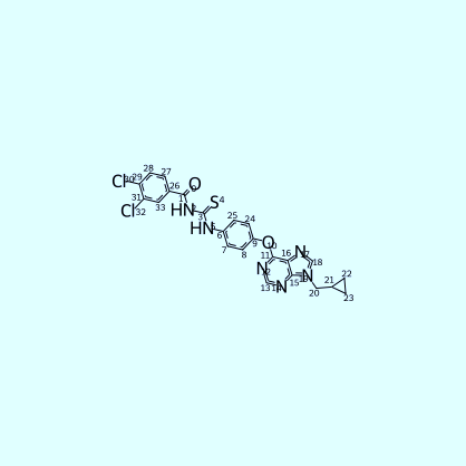 O=C(NC(=S)Nc1ccc(Oc2ncnc3c2ncn3CC2CC2)cc1)c1ccc(Cl)c(Cl)c1